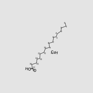 CCCCCCCCCCCCCCCCCC(=O)O.[CsH]